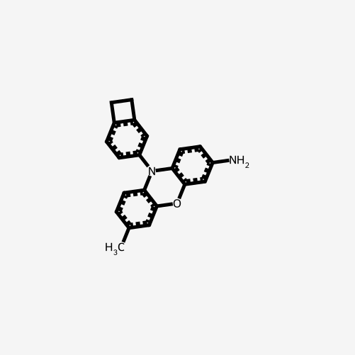 Cc1ccc2c(c1)Oc1cc(N)ccc1N2c1ccc2c(c1)CC2